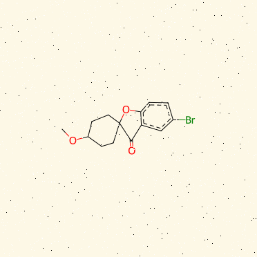 COC1CCC2(CC1)Oc1ccc(Br)cc1C2=O